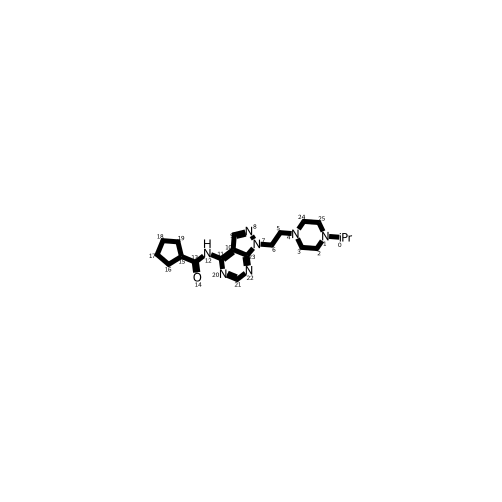 CC(C)N1CCN(CCn2ncc3c(NC(=O)C4CCCC4)ncnc32)CC1